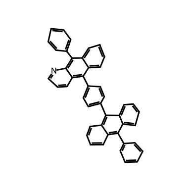 c1ccc(-c2c3ccccc3c(-c3ccc(-c4c5ccccc5c(-c5ccccc5)c5ncccc45)cc3)c3ccccc23)cc1